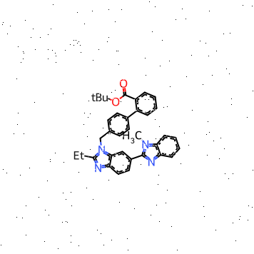 CCc1nc2ccc(-c3nc4ccccc4n3C)cc2n1Cc1ccc(-c2ccccc2C(=O)OC(C)(C)C)cc1